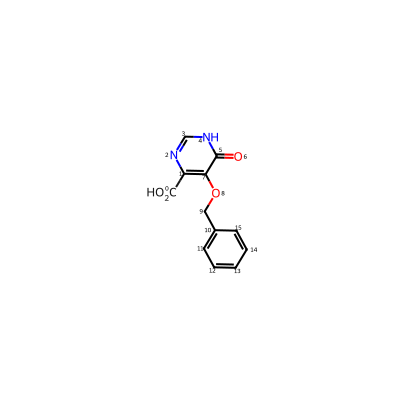 O=C(O)c1nc[nH]c(=O)c1OCc1ccccc1